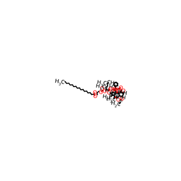 C=C[C@H]1O[C@H]2C[C@H]3OC[C@@]3(OC(C)=O)[C@H]3[C@H](OC(=O)c4ccccc4)[C@]4(C(C)(C)O)C[C@H](OC(=O)[C@H](OC(=O)OCC5COC(CCCCCCCCCCCCCCCCC)O5)[C@@H](C)CC(C)C)C(C)=C4[C@H](C)[C@H](O1)[C@]23C